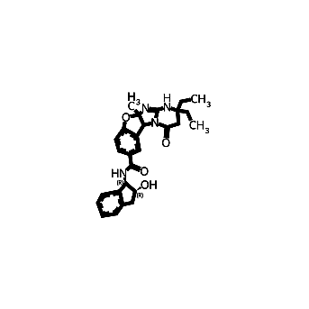 CCC1(CC)CC(=O)N2C(=NC3(C)Oc4ccc(C(=O)N[C@@H]5c6ccccc6C[C@H]5O)cc4C23)N1